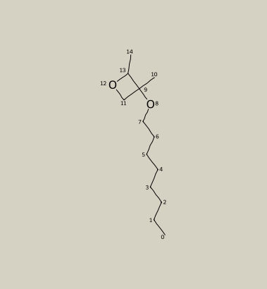 CCCCCCCCOC1(C)COC1C